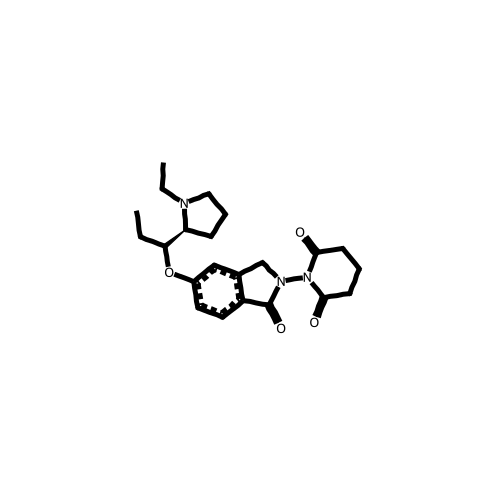 CCC(Oc1ccc2c(c1)CN(N1C(=O)CCCC1=O)C2=O)[C@@H]1CCCN1CC